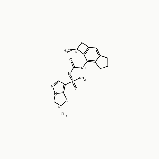 C[C@@H]1Cn2ncc(S(N)(=O)=NC(=O)Nc3c4c(cc5c3[C@@H](C)C5)CCC4)c2O1